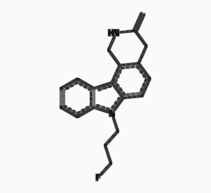 C=C1Cc2ccc3c(c2CN1)c1ccccc1n3CCCF